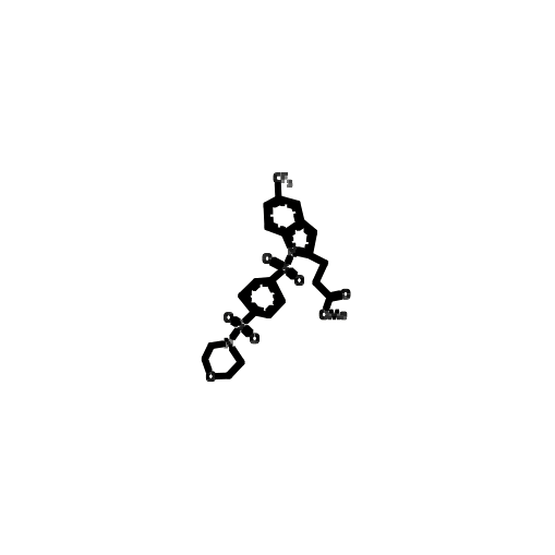 COC(=O)CCc1cc2cc(C(F)(F)F)ccc2n1S(=O)(=O)c1ccc(S(=O)(=O)N2CCOCC2)cc1